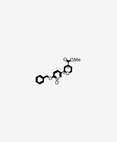 COC(=O)[C@H]1CCO[C@@H](c2ccc(OCc3ccccc3)[n+]([O-])c2)C1